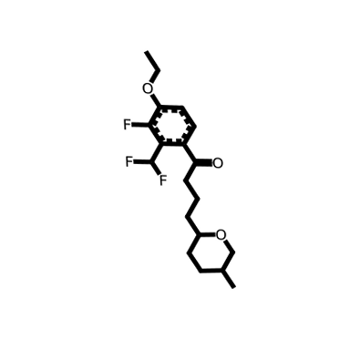 CCOc1ccc(C(=O)CCCC2CCC(C)CO2)c(C(F)F)c1F